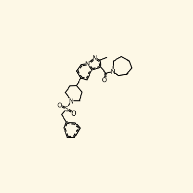 Cc1nn2ccc(C3CCN(S(=O)(=O)Cc4ccccc4)CC3)cc2c1C(=O)N1CCCCCC1